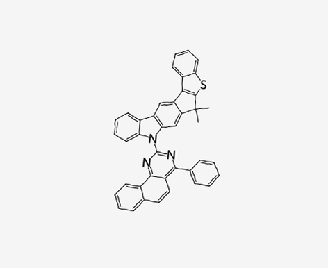 CC1(C)c2cc3c(cc2-c2c1sc1ccccc21)c1ccccc1n3-c1nc(-c2ccccc2)c2ccc3ccccc3c2n1